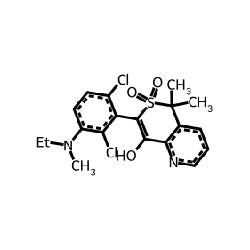 CCN(C)c1ccc(Cl)c(C2=C(O)c3ncccc3C(C)(C)S2(=O)=O)c1Cl